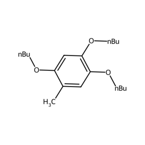 CCCCOc1cc(OCCCC)c(OCCCC)cc1C